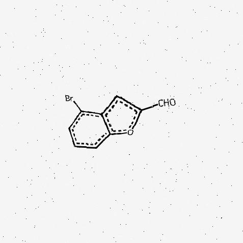 O=Cc1cc2c(Br)cccc2o1